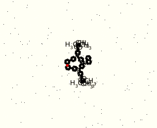 CC1(C)OB(c2ccc(N(c3ccc(-c4ccccc4)cc3)c3ccc4c(c3)c3cc(N(c5ccc(B6OC(C)(C)C(C)(C)O6)cc5)c5ccc(-c6ccccc6)cc5)ccc3n4-c3cccc4ccccc34)cc2)OC1(C)C